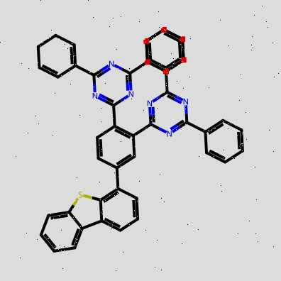 C1=CC(c2nc(-c3ccccc3)nc(-c3ccc(-c4cccc5c4sc4ccccc45)cc3-c3nc(C4=CCCC=C4)nc(-c4ccccc4)n3)n2)=CCC1